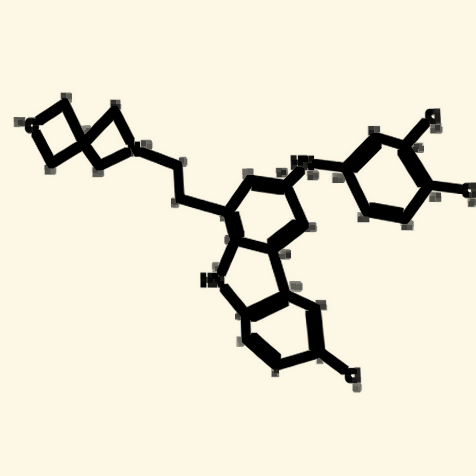 Clc1ccc2[nH]c3c(CCN4CC5(COC5)C4)cc(Nc4ccc(Cl)c(Cl)c4)cc3c2c1